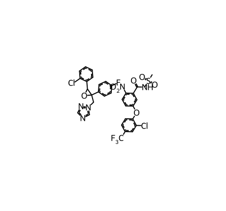 CS(=O)(=O)NC(=O)c1cc(Oc2ccc(C(F)(F)F)cc2Cl)ccc1[N+](=O)[O-].Fc1ccc(C2(Cn3cncn3)OC2c2ccccc2Cl)cc1